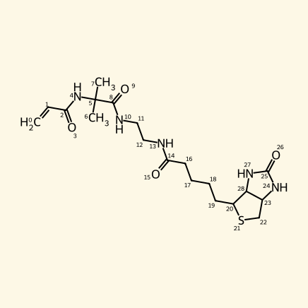 C=CC(=O)NC(C)(C)C(=O)NCCNC(=O)CCCCC1SCC2NC(=O)NC21